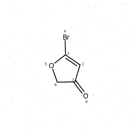 O=C1C=C(Br)OC1